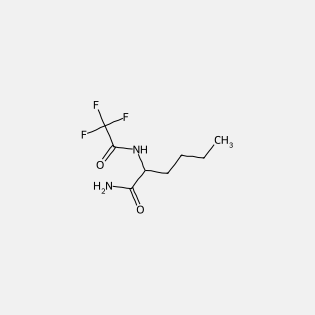 CCCCC(NC(=O)C(F)(F)F)C(N)=O